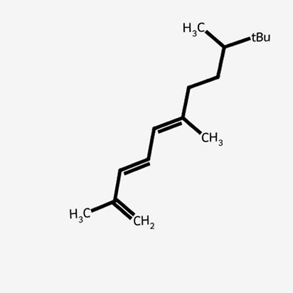 C=C(C)/C=C/C=C(\C)CCC(C)C(C)(C)C